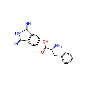 N=C1NC(=N)c2ccccc21.N[C@@H](Cc1ccccc1)C(=O)O